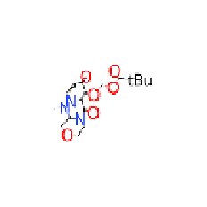 CN1C2COCCN2C(=O)c2c(OCOC(=O)C(C)(C)C)c(=O)ccn21